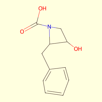 O=C(O)N1CC(O)C1Cc1ccccc1